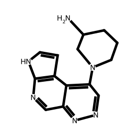 NC1CCCN(c2cnnc3cnc4[nH]ccc4c23)C1